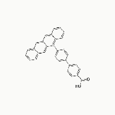 O=C(O)c1ccc(-c2ccc(-c3c4ccccc4cc4cc5ccccc5cc34)cc2)cc1